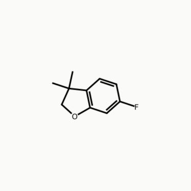 CC1(C)COc2cc(F)ccc21